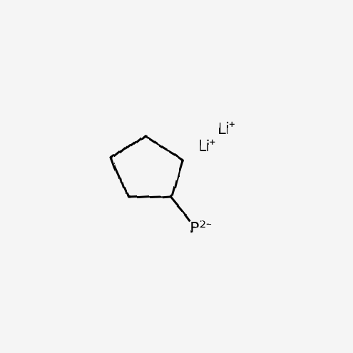 [Li+].[Li+].[P-2]C1CCCC1